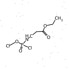 CCOC(=O)CCNP(=O)(Cl)OCl